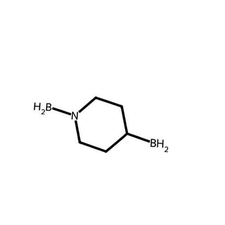 BC1CCN(B)CC1